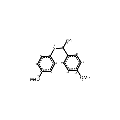 CCCC(Sc1ccc(OC)cc1)c1ccc(OC)cc1